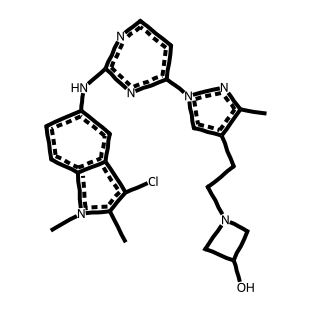 Cc1nn(-c2ccnc(Nc3ccc4c(c3)c(Cl)c(C)n4C)n2)cc1CCN1CC(O)C1